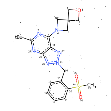 CC(C)(C)c1nc(N2CC3(COC3)C2)c2nn(Cc3ccccc3S(C)(=O)=O)nc2n1